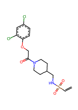 C=CS(=O)(=O)NCC1CCN(C(=O)COc2ccc(Cl)cc2Cl)CC1